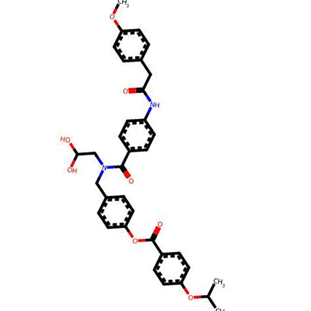 COc1ccc(CC(=O)Nc2ccc(C(=O)N(Cc3ccc(OC(=O)c4ccc(OC(C)C)cc4)cc3)CC(O)O)cc2)cc1